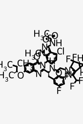 CC(C)[C@H](C)Oc1ccc2c(=O)n(-c3ccc(Cl)c4c(NS(C)(=O)=O)nn(C)c34)c([C@H](Cc3cc(F)cc(F)c3)NC(=O)Cn3nc(C(F)F)c4c3C(F)(F)[C@@H]3C[C@H]43)nc2c1